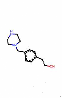 OCCc1ccc(CN2CCNCC2)cc1